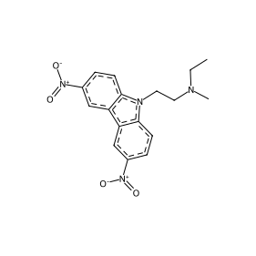 CCN(C)CCn1c2ccc([N+](=O)[O-])cc2c2cc([N+](=O)[O-])ccc21